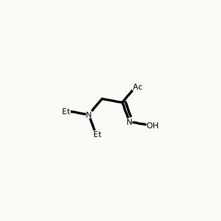 CCN(CC)CC(=NO)C(C)=O